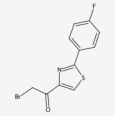 O=C(CBr)c1csc(-c2ccc(F)cc2)n1